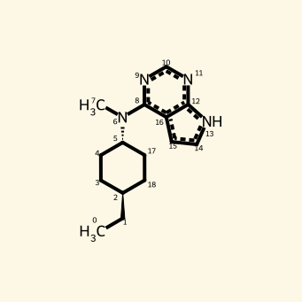 CC[C@H]1CC[C@H](N(C)c2ncnc3[nH]ccc23)CC1